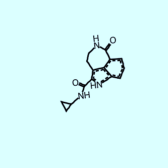 O=C(NC1CC1)c1[nH]c2cccc3c2c1CCNC3=O